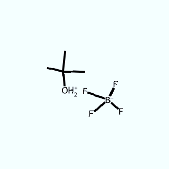 CC(C)(C)[OH2+].F[B-](F)(F)F